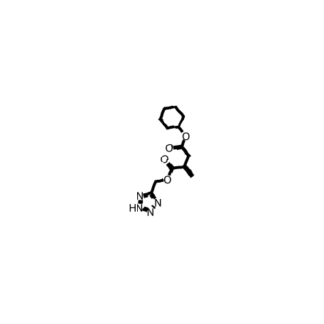 C=C(CC(=O)OC1CCCCC1)C(=O)OCc1nn[nH]n1